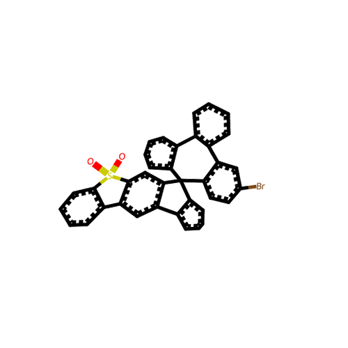 O=S1(=O)c2ccccc2-c2cc3c(cc21)C1(c2ccccc2-c2ccccc2-c2cc(Br)ccc21)c1ccccc1-3